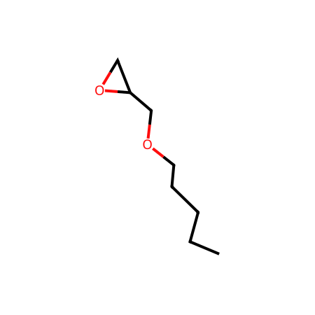 CCCCCOCC1CO1